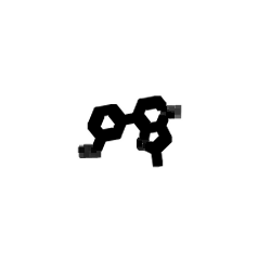 CC1=CC2NC=CC(c3cccc(C(C)(C)C)c3)=C2O1